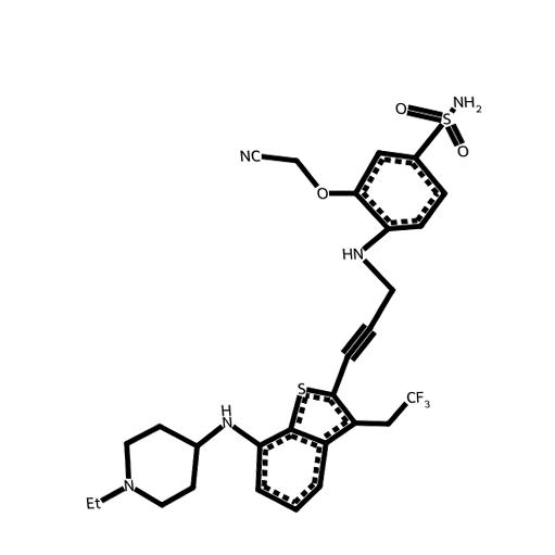 CCN1CCC(Nc2cccc3c(CC(F)(F)F)c(C#CCNc4ccc(S(N)(=O)=O)cc4OCC#N)sc23)CC1